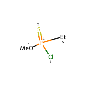 CCP(=S)(Cl)OC